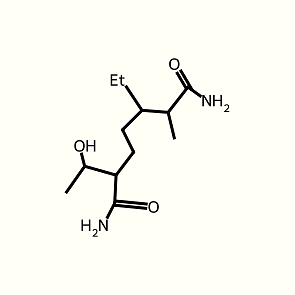 CCC(CCC(C(N)=O)C(C)O)C(C)C(N)=O